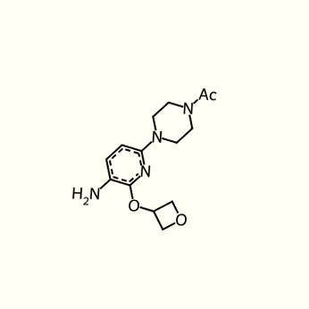 CC(=O)N1CCN(c2ccc(N)c(OC3COC3)n2)CC1